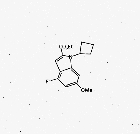 CCOC(=O)c1cc2c(F)cc(OC)cc2n1C1CCC1